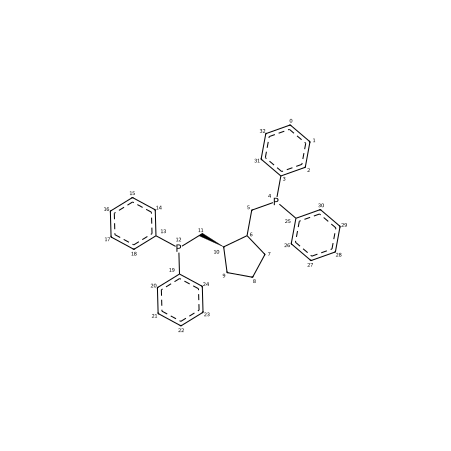 c1ccc(P(CC2CCC[C@H]2CP(c2ccccc2)c2ccccc2)c2ccccc2)cc1